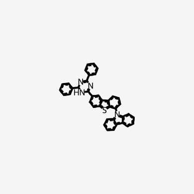 c1ccc(C2=NC(c3ccccc3)NC(c3ccc4sc5c(-n6c7ccccc7c7ccccc76)cccc5c4c3)=N2)cc1